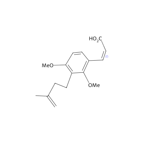 C=C(C)CCc1c(OC)ccc(/C=C\C(=O)O)c1OC